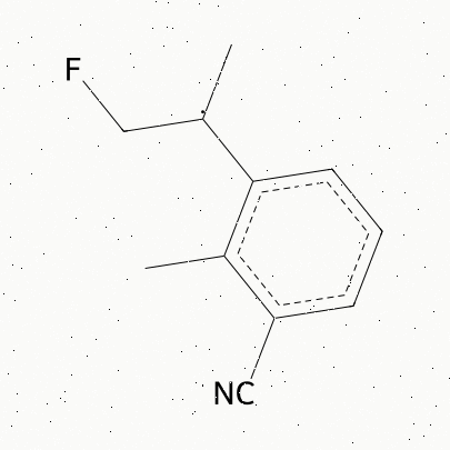 C[C](CF)c1cccc(C#N)c1C